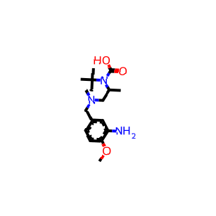 COc1ccc(CN(C)CC(C)N(C(=O)O)C(C)(C)C)cc1N